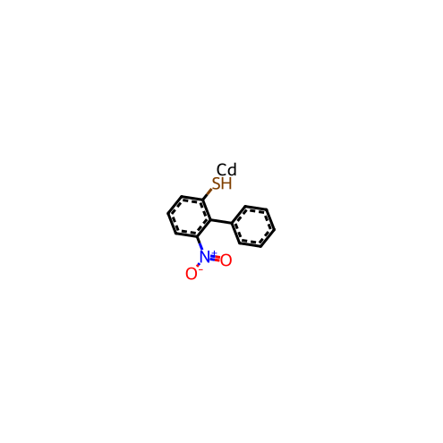 O=[N+]([O-])c1cccc(S)c1-c1ccccc1.[Cd]